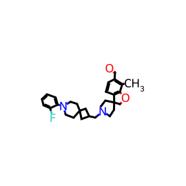 Cc1c(C=O)ccc2c1OCC21CCN(CC2CC3(CCN(c4ccccc4F)CC3)C2)CC1